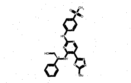 CC(C)(C)c1nnc(-c2cnc(Nc3ccc(S(C)(=O)=O)cc3)nc2N[C@H](CO)c2ccccc2)o1